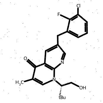 Cc1cn([C@H](CO)C(C)(C)C)c2ncc(Cc3cccc(Cl)c3F)cc2c1=O